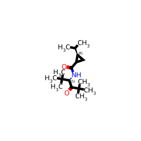 CC(C)[C@H]1CC1C(=O)N[C@H](C(=O)C(C)(C)C)C(C)(C)C